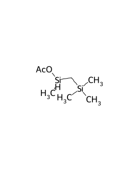 CC(=O)O[SiH](C)C[Si](C)(C)C